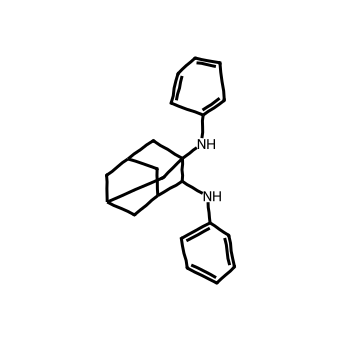 c1ccc(NC2C3CC4CC(C3)CC2(Nc2ccccc2)C4)cc1